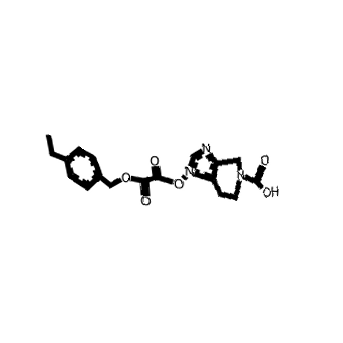 CCc1ccc(COC(=O)C(=O)On2cnc3c2CCN(C(=O)O)C3)cc1